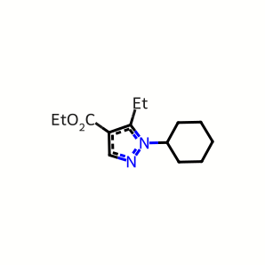 CCOC(=O)c1cnn(C2CCCCC2)c1CC